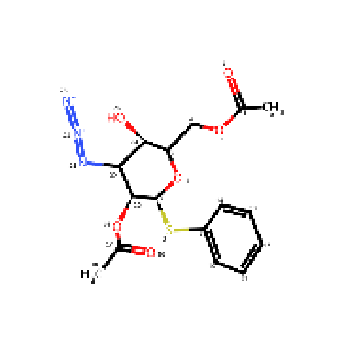 CC(=O)OCC1O[C@@H](Sc2ccccc2)[C@@H](OC(C)=O)C(N=[N+]=[N-])[C@H]1O